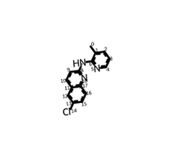 Cc1cccnc1Nc1ccc2cc(Cl)ccc2n1